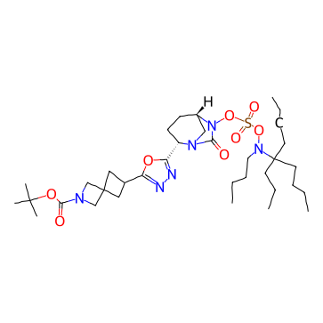 CCCCN(OS(=O)(=O)ON1C(=O)N2C[C@@H]1CC[C@H]2c1nnc(C2CC3(C2)CN(C(=O)OC(C)(C)C)C3)o1)C(CCC)(CCCC)CCCC